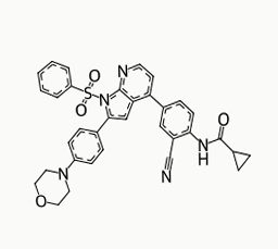 N#Cc1cc(-c2ccnc3c2cc(-c2ccc(N4CCOCC4)cc2)n3S(=O)(=O)c2ccccc2)ccc1NC(=O)C1CC1